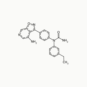 CCc1cccc(N(C(N)=O)c2ccc(-c3noc4cncc(N)c34)cc2)c1